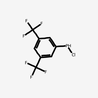 FC(F)(F)c1cc(PCl)cc(C(F)(F)F)c1